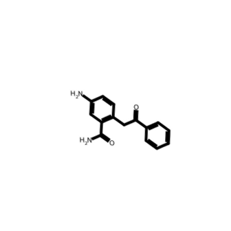 NC(=O)c1cc(N)ccc1CC(=O)c1ccccc1